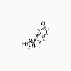 Cc1cc2ccc(Cl)cc2nc1-c1nc[nH]n1